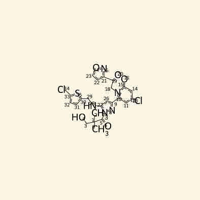 CC(C)(CO)C(=O)n1nc(-c2cc(Cl)cc(=O)n2CC(=O)c2ccon2)cc1NCc1ccc(Cl)s1